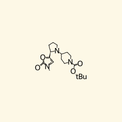 Cn1cc([C@H]2CCCN2C2CCN(C(=O)OC(C)(C)C)CC2)oc1=O